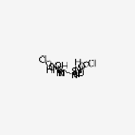 O=C(Nc1nnc(CCCCc2nnc(NC(O)C3Cc4cc(Cl)ccc4O3)s2)s1)C1Cc2cc(Cl)ccc2O1